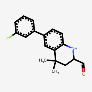 CC1(C)CC(C=O)Nc2ccc(-c3cccc(F)c3)cc21